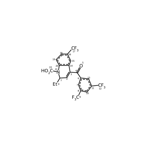 CCC1C=C(C(=O)c2cc(C(F)(F)F)cc(C(F)(F)F)c2)c2cc(C(F)(F)F)ccc2N1C(=O)O